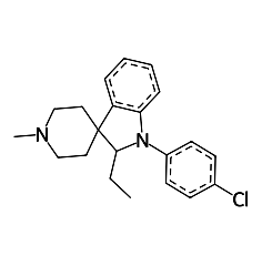 CCC1N(c2ccc(Cl)cc2)c2ccccc2C12CCN(C)CC2